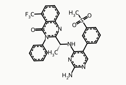 C[C@@H](Nc1nc(N)ncc1-c1cccc(S(C)(=O)=O)c1)c1nc2cccc(C(F)(F)F)c2c(=O)n1-c1ccccc1